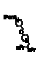 CCCC(CCC)CN1CCC(OCC2CCN(C(C)CCC)CC2)CC1